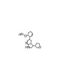 CCCOC1CCC=CC1C1C=NC2NCC(C3CCOC3)C2C1